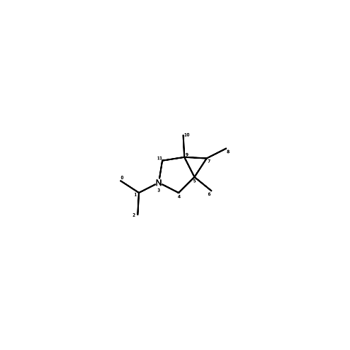 CC(C)N1CC2(C)C(C)C2(C)C1